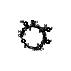 CC(=O)N[C@H]1CCCNC(=O)c2ccc(cc2)C[C@@H](C(N)=O)NC(=O)[C@]2(C)CCCN2C(=O)[C@H](Cc2ccc(O)cc2)NC(=O)[C@H](Cc2cnc[nH]2)NC(=O)[C@H](CC(=O)O)NC(=O)[C@H](Cc2c[nH]c3cc(F)ccc23)NC(=O)[C@H](Cc2c[nH]c3ccc(F)cc23)NC(=O)CNC(=O)[C@H](C)NC1=O